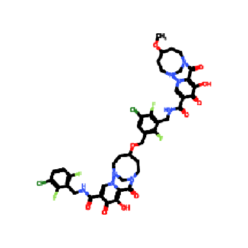 COC1CCN2CN(CC1)n1cc(C(=O)NCc3c(F)c(Cl)cc(COC4CCN5CN(CC4)n4cc(C(=O)NCc6c(F)ccc(Cl)c6F)c(=O)c(O)c4C5=O)c3F)c(=O)c(O)c1C2=O